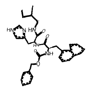 CCC(C)[CH]NC(=O)C(Cc1c[nH]cn1)NC(=O)[C@@H](Cc1cccc2ccccc12)NC(=O)OCc1ccccc1